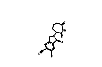 N#Cc1cc2c(cc1F)C(=O)N([C@H]1CCCC(=O)NC1=O)C2